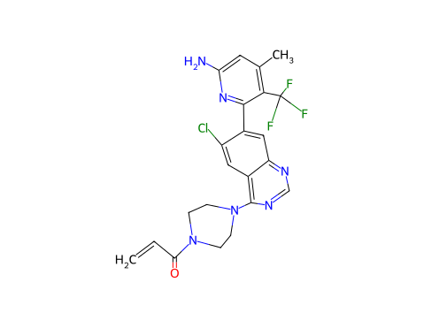 C=CC(=O)N1CCN(c2ncnc3cc(-c4nc(N)cc(C)c4C(F)(F)F)c(Cl)cc23)CC1